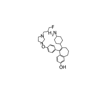 NC1CCC(C2=C(c3ccc(O[C@H]4CCN(CCCF)C4)cc3)c3ccc(O)cc3CCC2)CC1